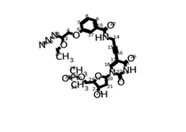 CCOC(COc1cccc(C(=O)NCC#Cc2cn(C3CC(O)C(COP(C)(C)=O)O3)c(=O)[nH]c2=O)c1)N=[N+]=[N-]